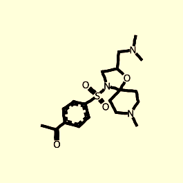 CC(=O)c1ccc(S(=O)(=O)N2CC(CN(C)C)OC23CCN(C)CC3)cc1